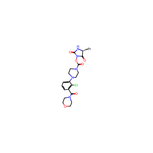 CC(C)[C@@H]1NC(=O)N(OC(=O)N2CCN(c3cccc(C(=O)N4CCOCC4)c3Cl)CC2)C1=O